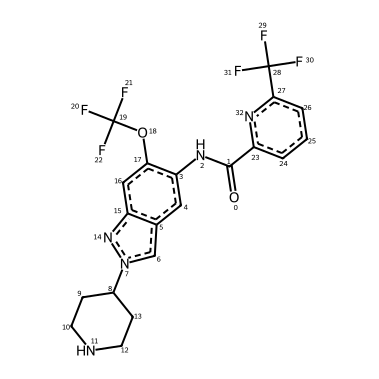 O=C(Nc1cc2cn(C3CCNCC3)nc2cc1OC(F)(F)F)c1cccc(C(F)(F)F)n1